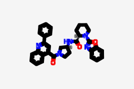 O=C(N[C@H]1CCN(C(=O)c2cc(-c3ccccc3)nc3ccccc23)C1)[C@@H]1CCCCN1c1nc2ccccc2o1